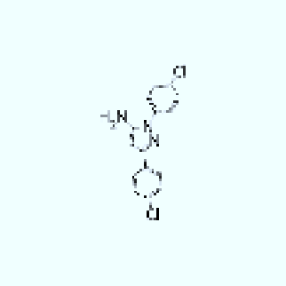 Nc1cc(-c2ccc(Cl)cc2)nn1-c1ccc(Cl)cc1